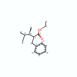 CCOC(=O)C(Cc1ccccc1)[C@H](C)C(C)C